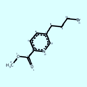 COC(=O)c1ccc(CCCBr)cn1